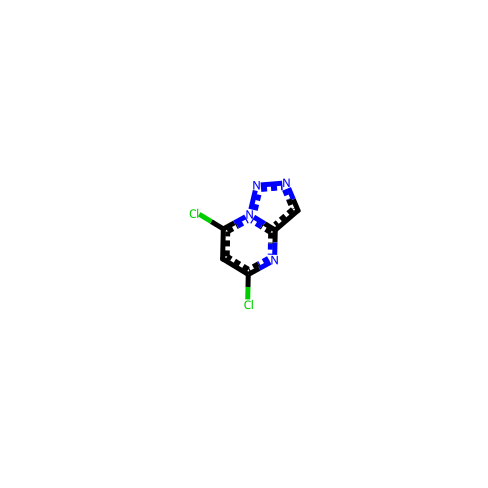 Clc1cc(Cl)n2nncc2n1